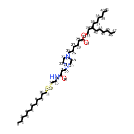 CCCCCCCCCCCCSSCCNC(=O)CCN1CCN(CCCCCC(=O)OCCC(CCCCCC)CCCCCC)CC1